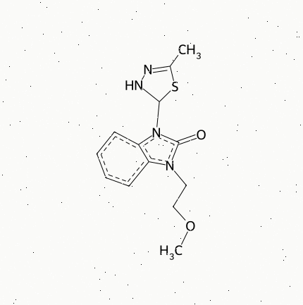 COCCn1c(=O)n(C2NN=C(C)S2)c2ccccc21